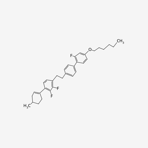 CCCCCCOc1ccc(-c2ccc(CCc3ccc(C4=CCC(C)CC4)c(F)c3F)cc2)c(F)c1